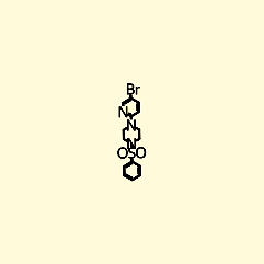 O=S(=O)(c1ccccc1)N1CCN(c2ccc(Br)cn2)CC1